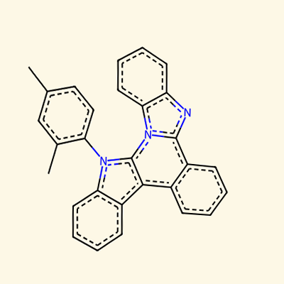 Cc1ccc(-n2c3ccccc3c3c4ccccc4c4nc5ccccc5n4c32)c(C)c1